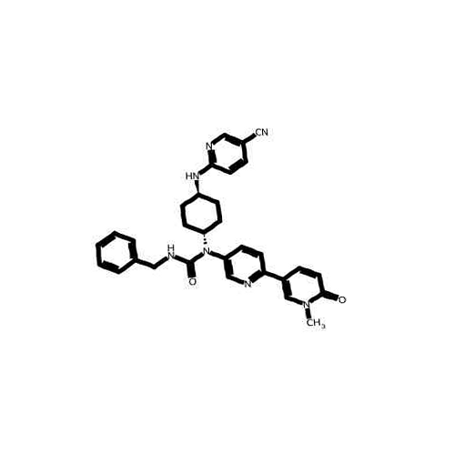 Cn1cc(-c2ccc(N(C(=O)NCc3ccccc3)[C@H]3CC[C@H](Nc4ccc(C#N)cn4)CC3)cn2)ccc1=O